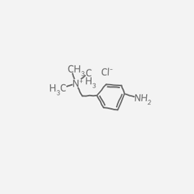 C[N+](C)(C)Cc1ccc(N)cc1.[Cl-]